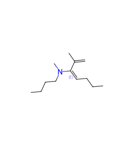 C=C(C)/C(=C\CCC)N(C)CCCC